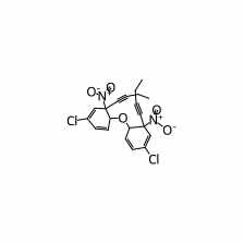 CCC#CC1([N+](=O)[O-])C=C(Cl)C=CC1OC1C=CC(Cl)=CC1(C#CCC)[N+](=O)[O-]